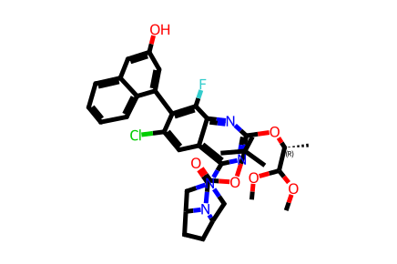 COC(OC)[C@@H](C)Oc1nc(N2CC3CCC(C2)N3C(=O)OC(C)(C)C)c2cc(Cl)c(-c3cc(O)cc4ccccc34)c(F)c2n1